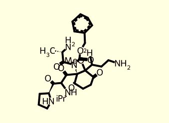 [2H]C(CCN)C1(OC)C(=O)CCC(=O)[C@]1(C(=O)C(NC(C)C)C(=O)[C@@H]1CCCN1)N(C(=O)OCc1ccccc1)C(=O)[C@H](C)N